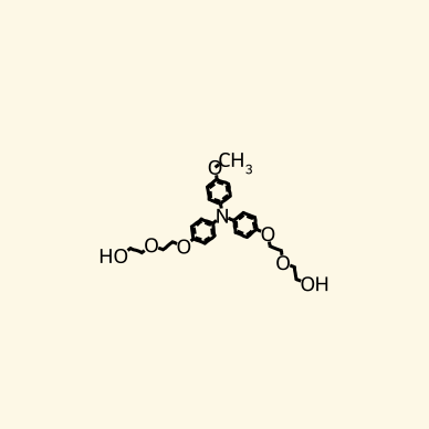 COc1ccc(N(c2ccc(OCCOCCO)cc2)c2ccc(OCCOCCO)cc2)cc1